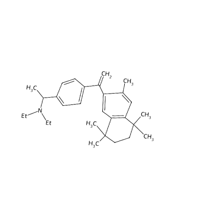 C=C(c1ccc(C(C)N(CC)CC)cc1)c1cc2c(cc1C)C(C)(C)CCC2(C)C